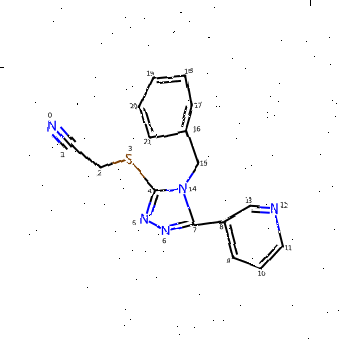 N#CCSc1nnc(-c2cccnc2)n1Cc1ccccc1